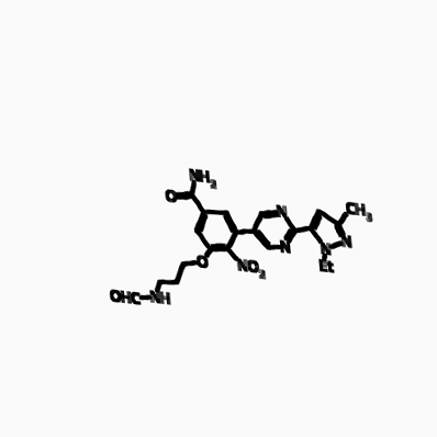 CCn1nc(C)cc1-c1ncc(-c2cc(C(N)=O)cc(OCCCNC=O)c2[N+](=O)[O-])cn1